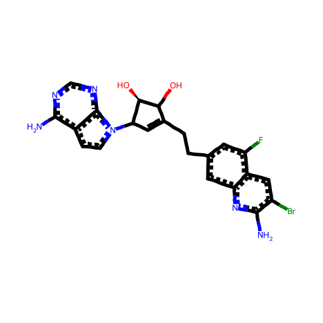 Nc1nc2cc(CCC3=CC(n4ccc5c(N)ncnc54)[C@@H](O)C3O)cc(F)c2cc1Br